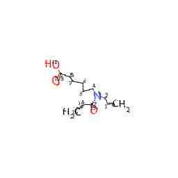 C=CCN(CCCCCC(=O)O)C(=O)C=C